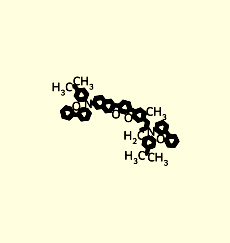 C=C/C(=C\c1cc2oc3c(ccc4c5cc6ccc(N(c7ccc(C(C)C)cc7)c7cccc8c7oc7ccccc78)cc6cc5oc43)c2cc1C)N(c1ccc(C(C)C)cc1)c1cccc2c1oc1ccccc12